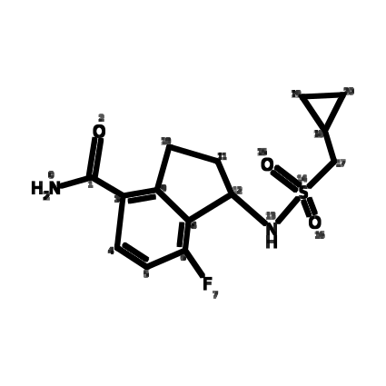 NC(=O)c1ccc(F)c2c1CCC2NS(=O)(=O)CC1CC1